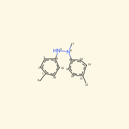 Cc1ccc(NN(C)c2ccc(C)cc2)cc1